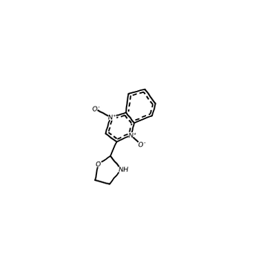 [O-][n+]1cc(C2NCCO2)[n+]([O-])c2ccccc21